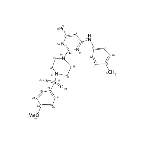 CCCc1cc(Nc2ccc(C)cc2)nc(N2CCN(S(=O)(=O)c3ccc(OC)cc3)CC2)n1